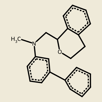 CN(CC1OCCc2ccccc21)c1cccc(-c2ccccc2)c1